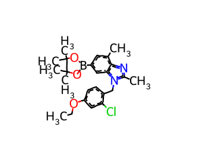 CCOc1ccc(Cn2c(C)nc3c(C)cc(B4OC(C)(C)C(C)(C)O4)cc32)c(Cl)c1